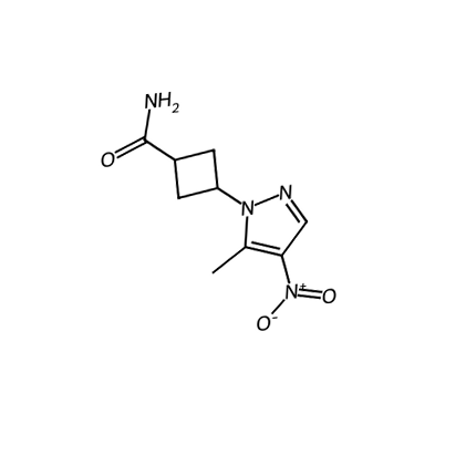 Cc1c([N+](=O)[O-])cnn1C1CC(C(N)=O)C1